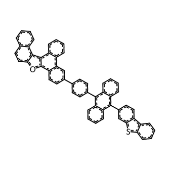 c1ccc2c(c1)ccc1oc3c4ccc(-c5ccc(-c6c7ccccc7c(-c7ccc8c(c7)sc7ccccc78)c7ccccc67)cc5)cc4c4ccccc4c3c12